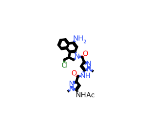 CC(=O)Nc1cc(C(=O)Nc2cc(C(=O)N3CC(CCl)c4c3cc(N)c3ccccc43)nn2C)nn1C